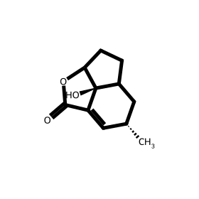 C[C@@H]1C=C2C(=O)OC3CCC(C1)[C@]23O